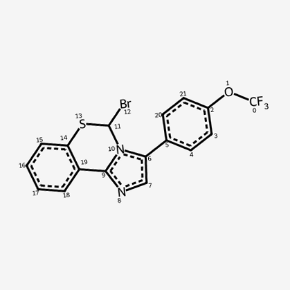 FC(F)(F)Oc1ccc(-c2cnc3n2C(Br)Sc2ccccc2-3)cc1